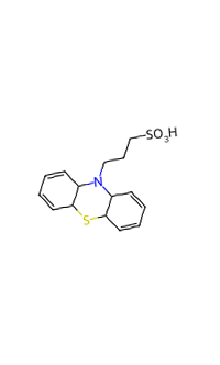 O=S(=O)(O)CCCN1C2C=CC=CC2SC2C=CC=CC21